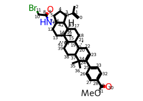 C=C(C)[C@@H]1CC[C@]2(NC(=O)CBr)CC[C@]3(C)[C@H](CCC4[C@@]5(C)CC=C(c6ccc(C(=O)OC)cc6)C(C)(C)C5CC[C@]43C)C12